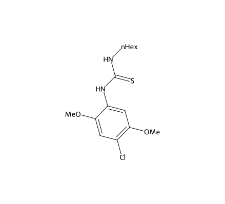 CCCCCCNC(=S)Nc1cc(OC)c(Cl)cc1OC